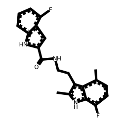 Cc1[nH]c2c(F)ccc(C)c2c1CCNC(=O)c1cc2c(F)cccc2[nH]1